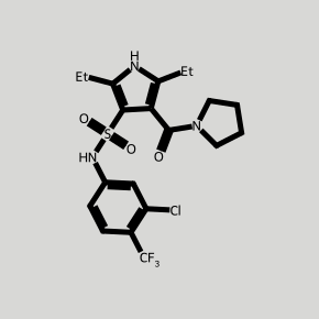 CCc1[nH]c(CC)c(S(=O)(=O)Nc2ccc(C(F)(F)F)c(Cl)c2)c1C(=O)N1CCCC1